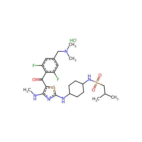 CNc1nc(NC2CCC(NS(=O)(=O)CC(C)C)CC2)sc1C(=O)c1c(F)cc(CN(C)C)cc1F.Cl